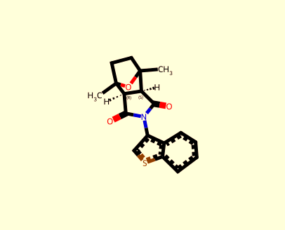 CC12CCC(C)(O1)[C@H]1C(=O)N(c3csc4ccccc34)C(=O)[C@H]12